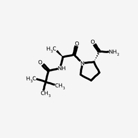 C[C@H](NC(=O)C(C)(C)C)C(=O)N1CCC[C@H]1C(N)=O